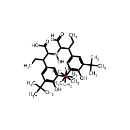 CCC(c1cc(C(C)(C)C)c(O)c(C(C)(C)C)c1)C(C(=O)O)N(O)C(C(=O)O)C(CC)c1cc(C(C)(C)C)c(O)c(C(C)(C)C)c1